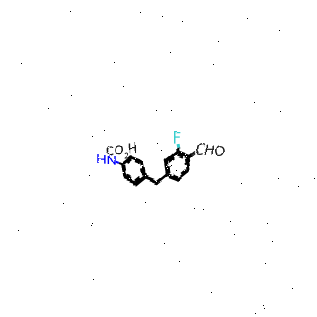 O=Cc1ccc(Cc2ccc(NC(=O)O)cc2)cc1F